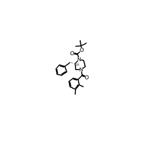 Cc1cccc(C(=O)N2CCN(C(=O)OC(C)(C)C)[C@@H](Cc3ccccc3)C2)c1C